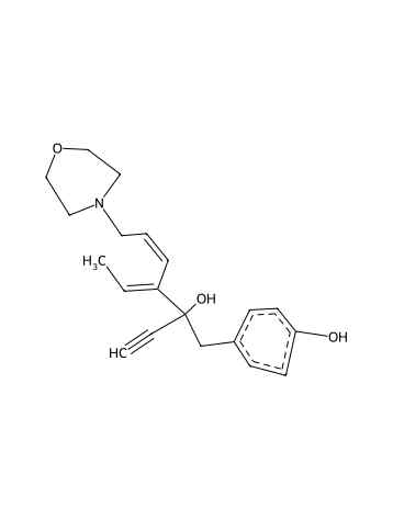 C#CC(O)(Cc1ccc(O)cc1)C(/C=C\CN1CCOCC1)=C/C